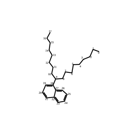 CCCCCCCCCC(CCCCCCCC)c1cccc2ccccc12